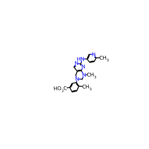 Cc1ccc(Nc2ncc3c(n2)N(C)CN(c2cc(C(=O)O)ccc2C)C3)cn1